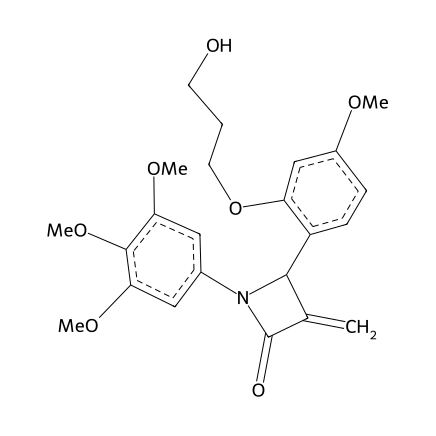 C=C1C(=O)N(c2cc(OC)c(OC)c(OC)c2)C1c1ccc(OC)cc1OCCCO